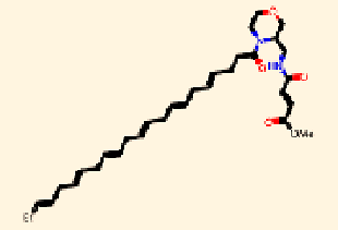 CCC=CCC=CCC=CCC=CCC=CCC=CCCC(=O)N1CCOCC1CNC(=O)C=CC(=O)OC